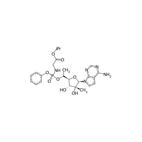 CC(C)OC(=O)CNP(=O)(Oc1ccccc1)OC(C)[C@H]1O[C@@H](n2ccc3c(N)ncnc32)[C@](C)(O)[C@@H]1O